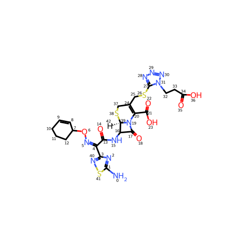 Nc1nc(/C(=N/OC2C=CCCC2)C(=O)NC2C(=O)N3C(C(=O)O)=C(CSc4nnnn4CCC(=O)O)CS[C@H]23)ns1